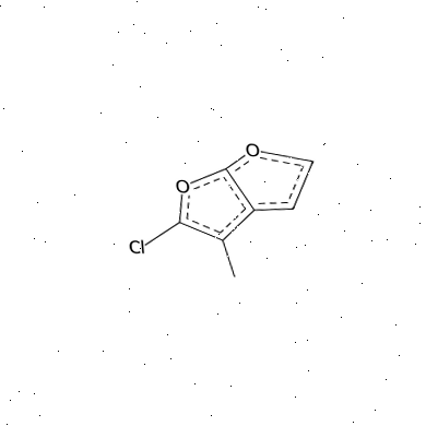 Cc1c(Cl)oc2occc12